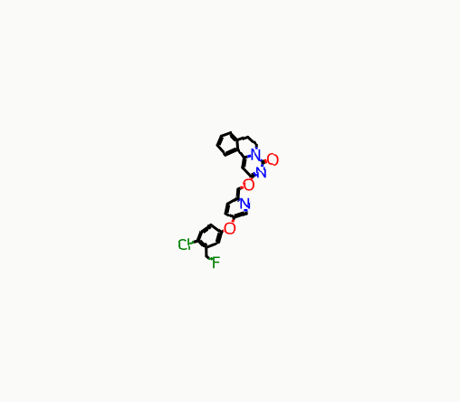 O=c1nc(OCc2ccc(Oc3ccc(Cl)c(CF)c3)cn2)cc2n1CCc1ccccc1-2